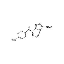 CNc1nnc2c(Nc3ccc(C(C)(C)C)cc3)nccn12